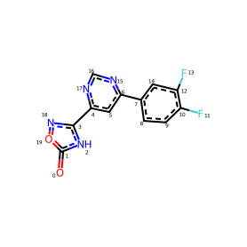 O=c1[nH]c(-c2cc(-c3ccc(F)c(F)c3)ncn2)no1